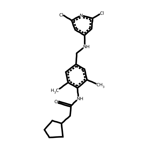 Cc1cc(CNc2cc(Cl)nc(Cl)c2)cc(C)c1NC(=O)CC1CCCC1